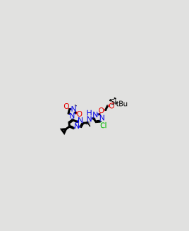 C[C@H](Nc1cc(Cl)nc(OCCO[Si](C)(C)C(C)(C)C)n1)c1cn2cc(C3CC3)cc(N3CC(=O)N(C)C3=O)c2n1